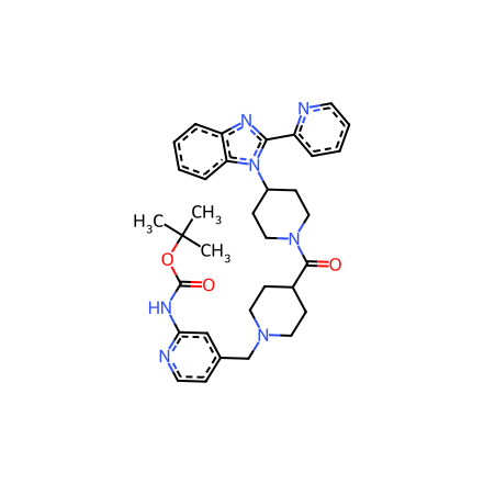 CC(C)(C)OC(=O)Nc1cc(CN2CCC(C(=O)N3CCC(n4c(-c5ccccn5)nc5ccccc54)CC3)CC2)ccn1